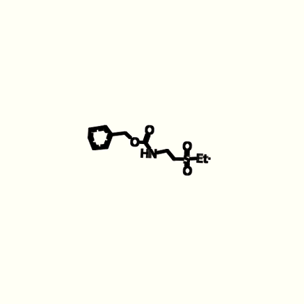 C[CH]S(=O)(=O)CCNC(=O)OCc1ccccc1